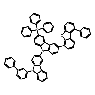 c1ccc(-c2cccc(-n3c4ccccc4c4cc(-n5c6ccc(-c7cccc8c7oc7cccc(-c9ccccc9)c78)cc6c6cc([Si](c7ccccc7)(c7ccccc7)c7ccccc7)ccc65)ccc43)c2)cc1